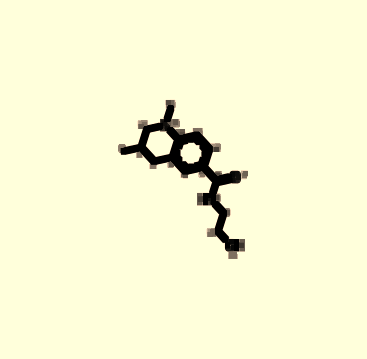 CC1Cc2cc(C(=O)NCCO)ccc2N(C)C1